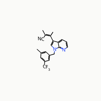 C/C(C#N)=C(\C)c1cn(Cc2cc(C)cc(C(F)(F)F)c2)c2ncccc12